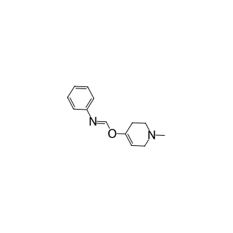 CN1CC=C(O/C=N/c2ccccc2)CC1